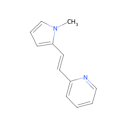 Cn1cccc1C=Cc1ccccn1